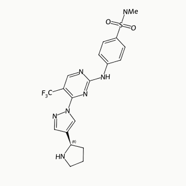 CNS(=O)(=O)c1ccc(Nc2ncc(C(F)(F)F)c(-n3cc([C@H]4CCCN4)cn3)n2)cc1